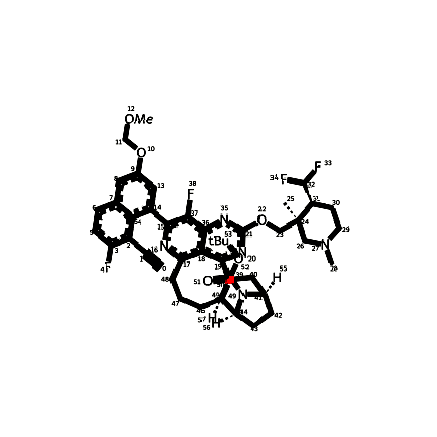 C#Cc1c(F)ccc2cc(OCOC)cc(-c3nc4c5c(nc(OC[C@]6(C)CN(C)CC[C@@H]6C(F)F)nc5c3F)N3C[C@H]5CC[C@@H]([C@H]3CCC4)N5C(=O)OC(C)(C)C)c12